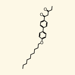 CCCCCCCCCCOc1ccc(-c2ccc(C(=O)CC(=O)CC)cc2)cc1